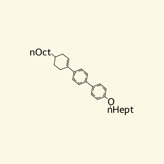 CCCCCCCCC1CC=C(c2ccc(-c3ccc(OCCCCCCC)cc3)cc2)CC1